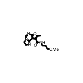 COCCCNC(=O)c1c(C)oc2c1C1=NCCN1C=N2